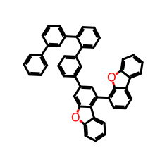 c1ccc(-c2cccc(-c3ccccc3-c3cccc(-c4cc(-c5cccc6c5oc5ccccc56)c5c(c4)oc4ccccc45)c3)c2)cc1